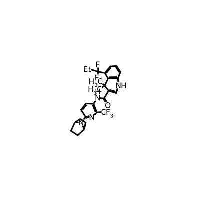 CCC(F)(F)c1cccc2c1C(C)(C)C(C(=O)Nc1ccc(N3C4CCC3CC4)nc1C(F)(F)F)=CN2